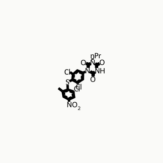 CCCn1c(=O)[nH]c(=O)n(-c2cc(Cl)c(Sc3c(C)cc([N+](=O)[O-])cc3Cl)c(Cl)c2)c1=O